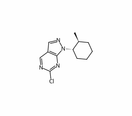 C[C@H]1CCCC[C@@H]1n1ncc2cnc(Cl)nc21